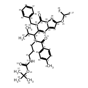 Cc1ccc(C(=O)N(CCCNC(=O)OC(C)(C)C)C(c2nc3cc(OC(F)F)nn3c(=O)n2Cc2ccccc2)C(C)C)cc1